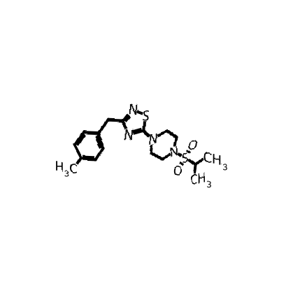 Cc1ccc(Cc2nsc(N3CCN(S(=O)(=O)C(C)C)CC3)n2)cc1